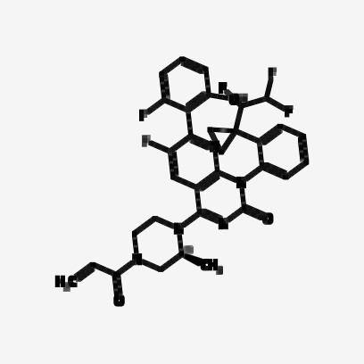 C=CC(=O)N1CCN(c2nc(=O)n(-c3ccccc3C3(C(F)C(F)F)CC3)c3nc(-c4c(O)cccc4F)c(F)cc23)[C@@H](C)C1